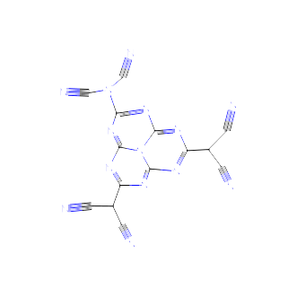 N#CC(C#N)C1=NC2=NC(C(C#N)C#N)=NC3=NC(N(C#N)C#N)=NC(=N1)N23